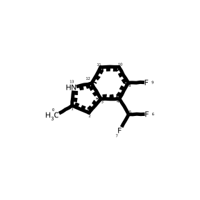 Cc1cc2c(C(F)F)c(F)ccc2[nH]1